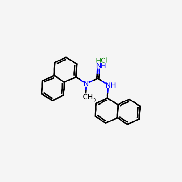 CN(C(=N)Nc1cccc2ccccc12)c1cccc2ccccc12.Cl